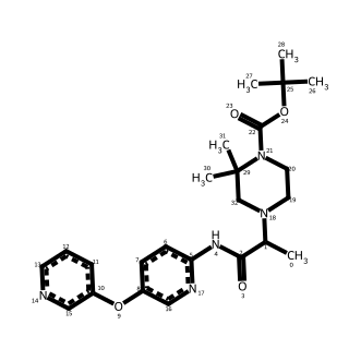 CC(C(=O)Nc1ccc(Oc2cccnc2)cn1)N1CCN(C(=O)OC(C)(C)C)C(C)(C)C1